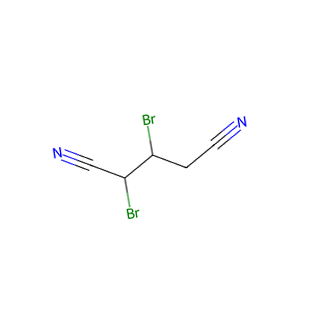 N#CCC(Br)C(Br)C#N